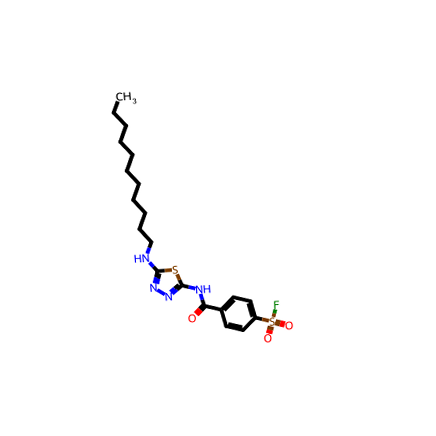 CCCCCCCCCCCNc1nnc(NC(=O)c2ccc(S(=O)(=O)F)cc2)s1